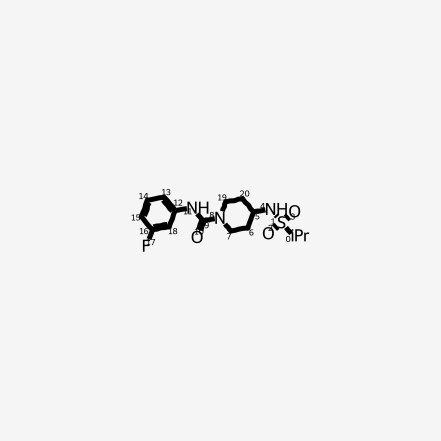 CC(C)S(=O)(=O)NC1CCN(C(=O)Nc2cccc(F)c2)CC1